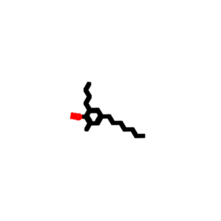 CCCCCCCc1cc(C)c(O)c(CCCC)c1